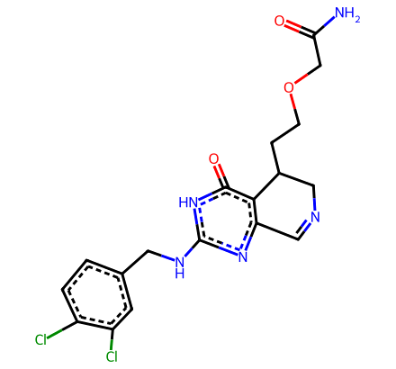 NC(=O)COCCC1CN=Cc2nc(NCc3ccc(Cl)c(Cl)c3)[nH]c(=O)c21